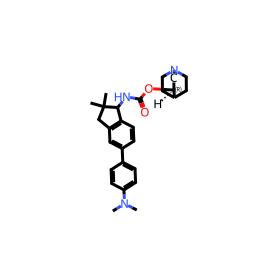 CN(C)c1ccc(-c2ccc3c(c2)CC(C)(C)C3NC(=O)O[C@H]2CN3CCC2CC3)cc1